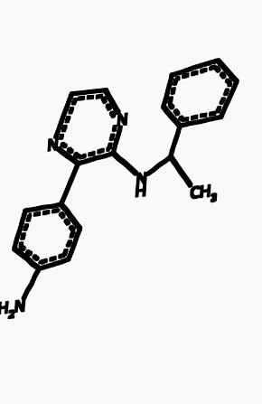 CC(Nc1nccnc1-c1ccc(N)cc1)c1ccccc1